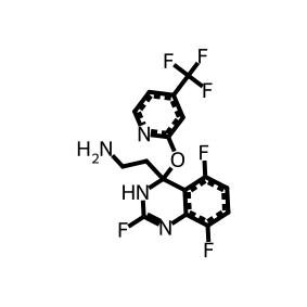 NCCC1(Oc2cc(C(F)(F)F)ccn2)NC(F)=Nc2c(F)ccc(F)c21